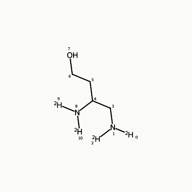 [2H]N([2H])CC(CCO)N([2H])[2H]